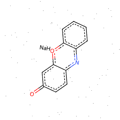 O=c1ccc2nc3ccccc3oc-2c1.[NaH]